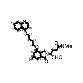 CNC(=O)CCC(C=O)N1Cc2c(OCCCCOc3ccnc4ccccc34)cc(F)cc2C1=O